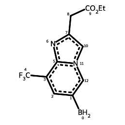 Bc1cc(C(F)(F)F)c2nc(CC(=O)OCC)cn2c1